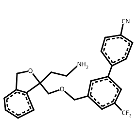 N#Cc1ccc(-c2cc(COCC3(CCN)OCc4ccccc43)cc(C(F)(F)F)c2)cc1